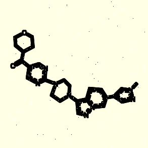 Cn1cc(-c2ccc3c(N4CCN(c5ncc(C(=O)C6CCOCC6)cn5)CC4)cnn3c2)cn1